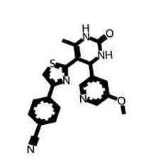 COc1cncc(C2NC(=O)NC(C)=C2c2nc(-c3ccc(C#N)cc3)cs2)c1